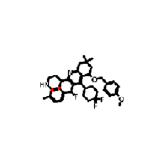 COc1ccc(COC2CC(C)(C)Cc3nc(C4CCNCC4)c(C(F)c4ccc(C)cc4)c(C4CCC(F)(F)CC4)c32)cc1